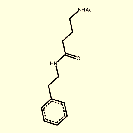 CC(=O)NCCCC(=O)NCCc1ccccc1